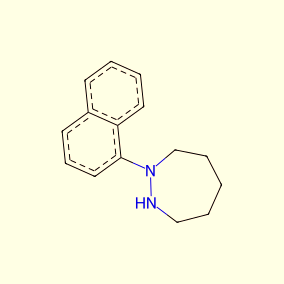 c1ccc2c(N3CCCCCN3)cccc2c1